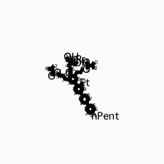 C=C(C)C(=O)OCCCc1cc(-c2ccc(C3=CCC(c4ccc(CCCCC)cc4)C=C3)cc2CC)cc(CCCOC(=O)C(=C)C)c1OCCC(CO)(CO)CCC